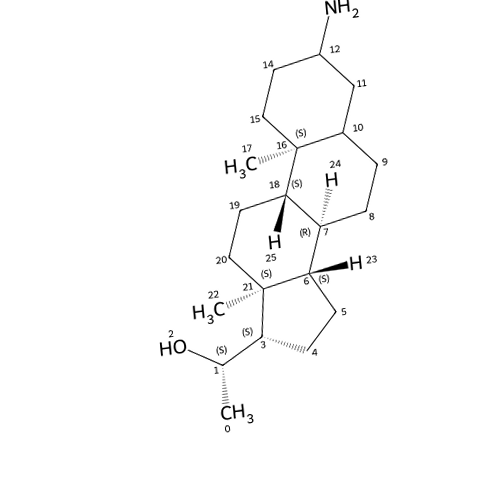 C[C@H](O)[C@H]1CC[C@H]2[C@@H]3CCC4CC(N)CC[C@]4(C)[C@H]3CC[C@]12C